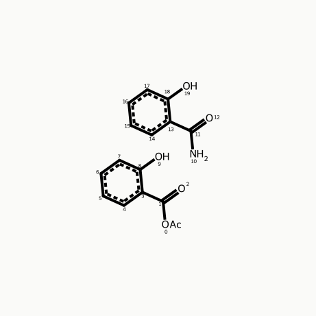 CC(=O)OC(=O)c1ccccc1O.NC(=O)c1ccccc1O